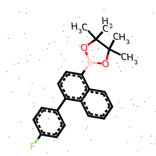 CC1(C)OB(c2ccc(-c3ccc(F)cc3)c3ccccc23)OC1(C)C